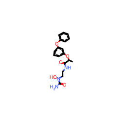 CC(Oc1cccc(Oc2ccccc2)c1)C(=O)NCCN(O)C(N)=O